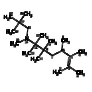 CC(C)=C(C)C(C)CC(C)(C)C(C)(C)N(C)CC(C)(C)C